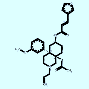 C=CCN1CC[C@@]2(c3cccc(OC)c3)C[C@@H](NC(=O)/C=C/c3ccoc3)CC[C@]2(OC(C)=O)C1